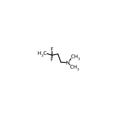 CN(C)CCC(C)(F)F